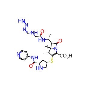 C[C@@H](NC(=O)CN/C=N\N=N)[C@H]1C(=O)N2C(C(=O)O)=C(S[C@@H]3CN[C@H](C(=O)Nc4ccncc4)C3)[C@H](C)[C@H]12